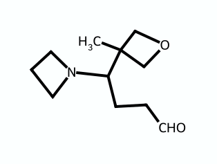 CC1(C(CCC=O)N2CCC2)COC1